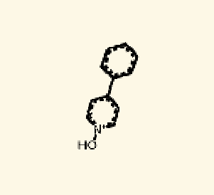 O[n+]1ccc(-c2ccccc2)cc1